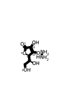 NN.O=C1O[C@H]([C@@H](O)CO)C(O)=C1O